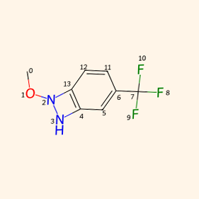 COn1[nH]c2cc(C(F)(F)F)ccc21